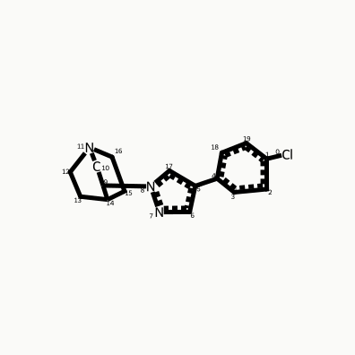 Clc1ccc(-c2cnn(C3CN4CCC3CC4)c2)cc1